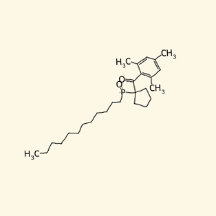 CCCCCCCCCCCC[P](=O)C1(C(=O)c2c(C)cc(C)cc2C)CCCC1